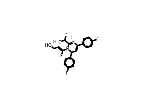 CC(C)C1=NC(c2ccc(F)cc2)=CC(c2ccc(F)cc2)N1/C(F)=C/CO